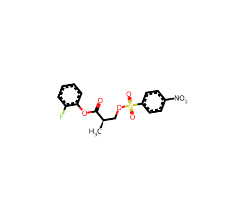 C[C@H](COS(=O)(=O)c1ccc([N+](=O)[O-])cc1)C(=O)Oc1ccccc1F